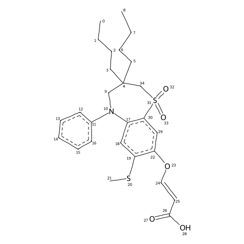 CCCCC1(CCCC)CN(c2ccccc2)c2cc(SC)c(OC=CC(=O)O)cc2S(=O)(=O)C1